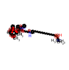 CC(=O)O[C@H]1C(=O)[C@@]2(C)[C@H]([C@H](OC(=O)c3ccccc3)[C@]3(O)C[C@H](OC(=O)[C@H](OC(=O)OCCCCC(=O)Nc4ccc(CCCCCCCCCCCCCCCCCCOP(=O)(O)OCC[N+](C)(C)C)cc4)[C@@H](NC(=O)c4ccccc4)c4ccccc4)C(C)=C1C3(C)C)[C@]1(OC(C)=O)CO[C@@H]1C[C@@H]2O